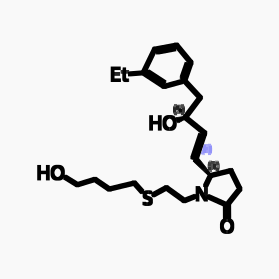 CCc1cccc(C[C@H](O)/C=C/[C@H]2CCC(=O)N2CCSCCCCO)c1